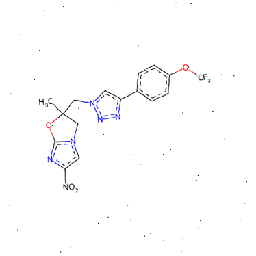 CC1(Cn2cc(-c3ccc(OC(F)(F)F)cc3)nn2)Cn2cc([N+](=O)[O-])nc2O1